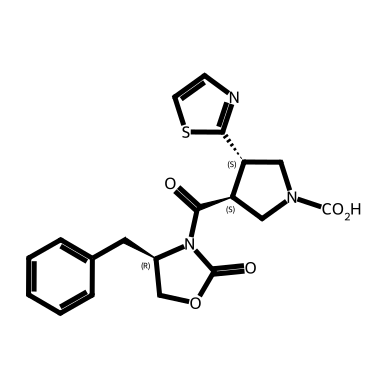 O=C(O)N1C[C@@H](C(=O)N2C(=O)OC[C@H]2Cc2ccccc2)[C@H](c2nccs2)C1